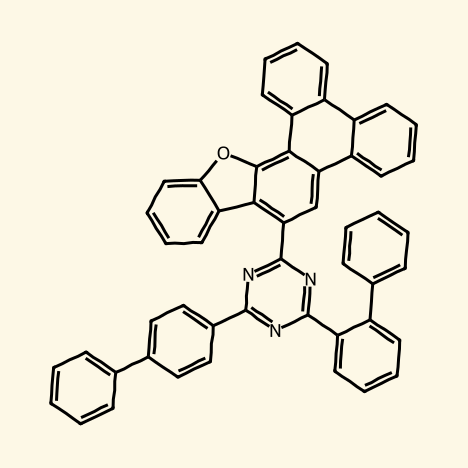 c1ccc(-c2ccc(-c3nc(-c4ccccc4-c4ccccc4)nc(-c4cc5c6ccccc6c6ccccc6c5c5oc6ccccc6c45)n3)cc2)cc1